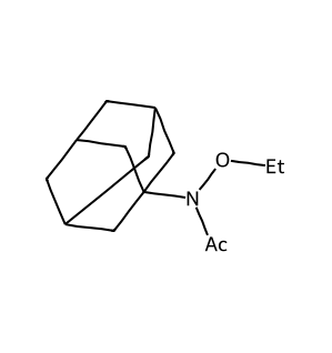 CCON(C(C)=O)C12CC3CC(CC(C3)C1)C2